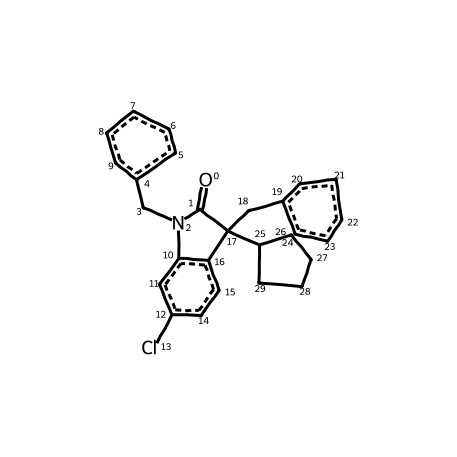 O=C1N(Cc2ccccc2)c2cc(Cl)ccc2C1(Cc1ccccc1)C1CCCC1